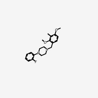 COc1ccc(CN2CCN(c3ccccc3F)CC2)c(OC)c1C